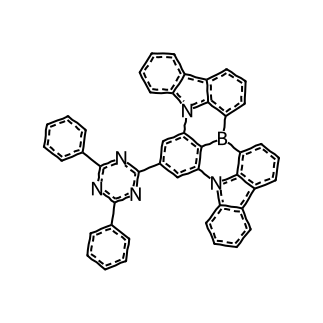 c1ccc(-c2nc(-c3ccccc3)nc(-c3cc4c5c(c3)-n3c6ccccc6c6cccc(c63)B5c3cccc5c6ccccc6n-4c35)n2)cc1